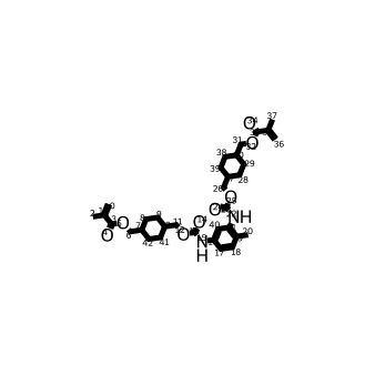 C=C(C)C(=O)OCC1CCC(COC(=O)Nc2ccc(C)c(NC(=O)OCC3CCC(COC(=O)C(=C)C)CC3)c2)CC1